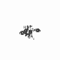 Cc1nc2cc(OCCN3CCOCC3)ccn2c1-c1csc(C2(c3ccc(C(=O)NO)cc3)CCOCC2)n1